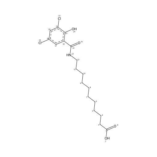 O=C(O)CCCCCCCCCCNC(=O)c1cc(Cl)cc(Cl)c1O